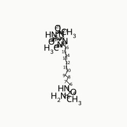 CC(N)C(=O)NCCCCCCCCCCCc1nc2c(c(=O)[nH]c(=O)n2C)n1C